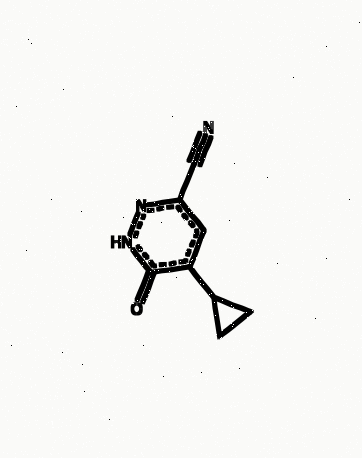 N#Cc1cc(C2CC2)c(=O)[nH]n1